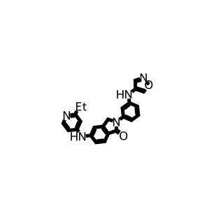 CCc1cc(Nc2ccc3c(c2)CN(c2cccc(Nc4cnoc4)c2)C3=O)ccn1